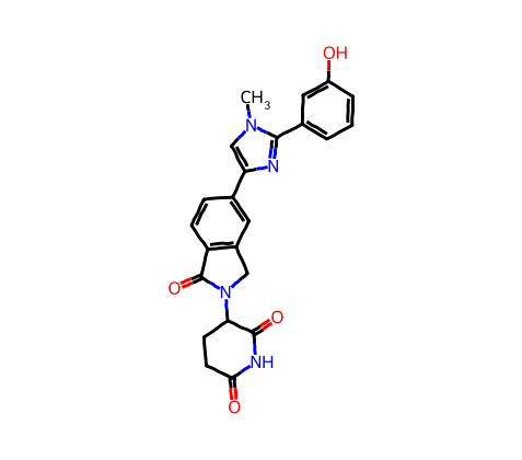 Cn1cc(-c2ccc3c(c2)CN(C2CCC(=O)NC2=O)C3=O)nc1-c1cccc(O)c1